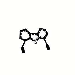 C#Cc1cc[c]c2c1sc1c(C#C)cccc12